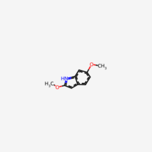 COc1ccc2cc(OC)[nH]c2c1